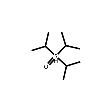 CC(C)[SH](=O)(C(C)C)C(C)C